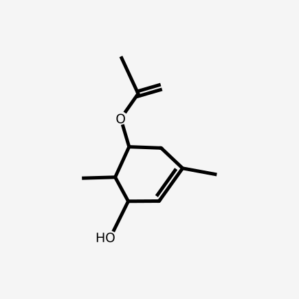 C=C(C)OC1CC(C)=CC(O)C1C